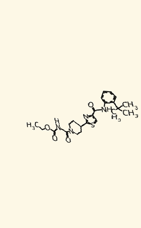 CCOC(=O)NC(=O)N1CCC(c2nc(C(=O)Nc3ccccc3C(C)(C)C)cs2)CC1